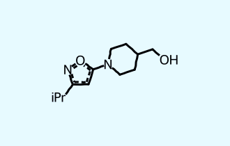 CC(C)c1cc(N2CCC(CO)CC2)on1